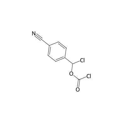 N#Cc1ccc(C(Cl)OC(=O)Cl)cc1